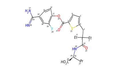 CCC(CC)(Cc1ccc(C(=O)Oc2ccc(C(=N)N)cc2F)s1)C(=O)N[C@H](C(=O)O)C(C)C